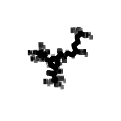 CC(C)CCCC(C)CCNC(=O)c1cc(NC(=O)C(C)(C)C)cc(NC(=O)C(C)(C)C)c1